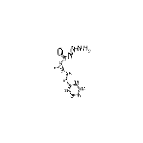 NN=NC(=O)C1CC1/C=C/c1ccccc1